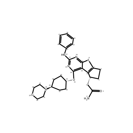 NC(=O)C[C@H]1CCc2sc3nc(Nc4ccccc4)nc(O[C@H]4CC[C@H](N5CCOCC5)CC4)c3c21